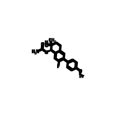 CC(C)Oc1ccc(-c2cc3c(cc2F)[C@H](OC(N)=O)C(C)(C)CC3)cc1